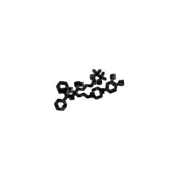 CC(C)(C)C(CCCB1OC(C)(C)C(C)(C)O1)C(CCCN1CCN(c2ccc(Cl)c(Cl)c2)CC1)(N=C(c1ccccc1)c1ccccc1)C(=O)O